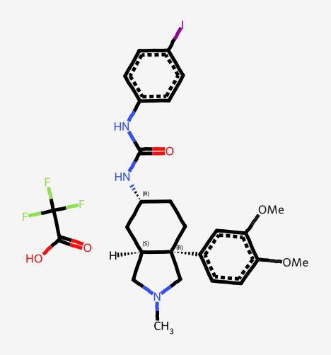 COc1ccc([C@@]23CC[C@@H](NC(=O)Nc4ccc(I)cc4)C[C@@H]2CN(C)C3)cc1OC.O=C(O)C(F)(F)F